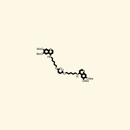 COc1cc2nccc(NCCCCCOC(=O)/C=C\C(=O)OCCCCCNc3ccnc4cc(OC)c(OC)cc34)c2cc1OC